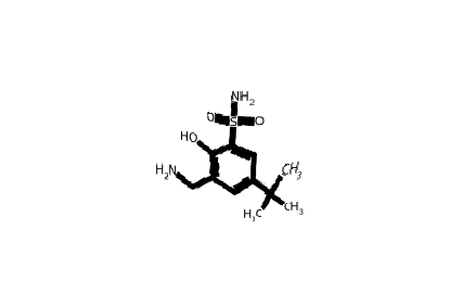 CC(C)(C)c1cc(CN)c(O)c(S(N)(=O)=O)c1